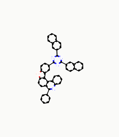 c1ccc(-c2nc3ccccc3c3c2ccc2oc4ccc(-c5nc(-c6ccc7ccccc7c6)nc(-c6ccc7ccccc7c6)n5)cc4c23)cc1